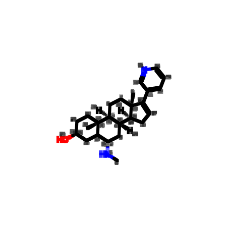 CN[C@H]1C[C@@H]2[C@H](CC[C@]3(C)C(c4cccnc4)=CC[C@@H]23)[C@@]2(C)CC[C@H](O)CC12